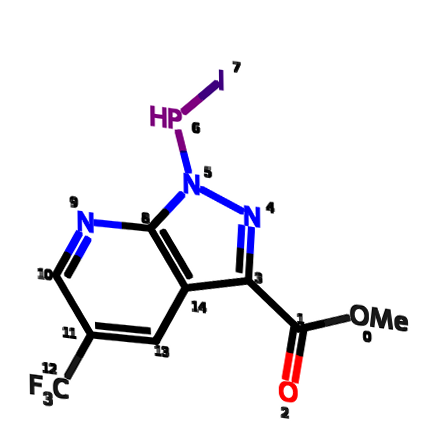 COC(=O)c1nn(PI)c2ncc(C(F)(F)F)cc12